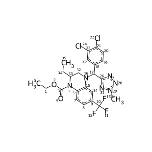 CCOC(=O)N1c2ccc(C(F)(F)F)cc2N(C(c2ccc(Cl)c(Cl)c2)c2nnn(C)n2)CC1CC